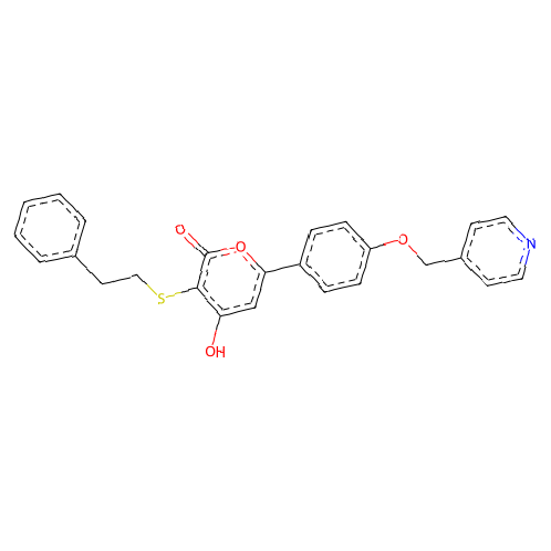 O=c1oc(-c2ccc(OCc3ccncc3)cc2)cc(O)c1SCCc1ccccc1